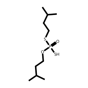 CC(C)CCOP(=O)(S)SCCC(C)C